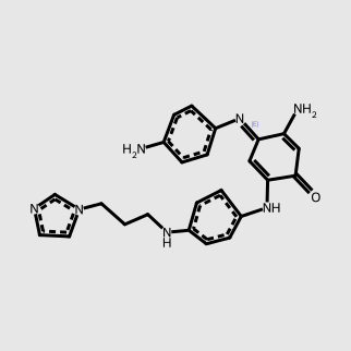 NC1=CC(=O)C(Nc2ccc(NCCCn3ccnc3)cc2)=C/C1=N\c1ccc(N)cc1